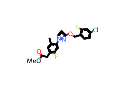 COC(=O)Cc1cc(C)c(-n2ccc(OCc3ccc(Cl)cc3F)n2)cc1F